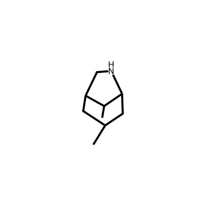 CC1CC2CNC(C1)C2C